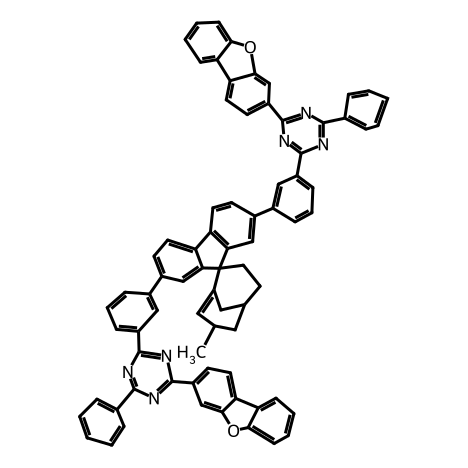 CC1C=C2CC(CCC23c2cc(-c4cccc(-c5nc(-c6ccccc6)nc(-c6ccc7c(c6)oc6ccccc67)n5)c4)ccc2-c2ccc(-c4cccc(-c5nc(-c6ccccc6)nc(-c6ccc7c(c6)oc6ccccc67)n5)c4)cc23)C1